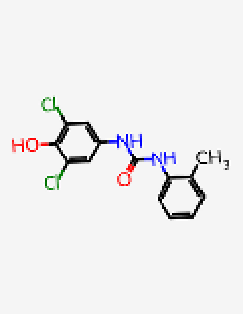 Cc1ccccc1NC(=O)Nc1cc(Cl)c(O)c(Cl)c1